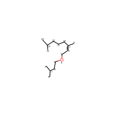 CC(=CCOCCC(C)C)CCCC(C)C